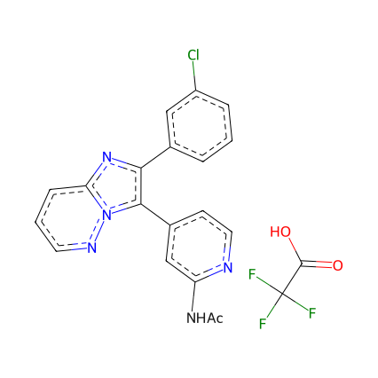 CC(=O)Nc1cc(-c2c(-c3cccc(Cl)c3)nc3cccnn23)ccn1.O=C(O)C(F)(F)F